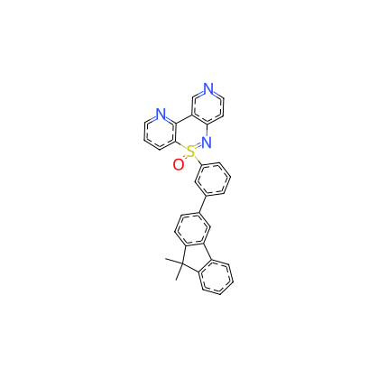 CC1(C)c2ccccc2-c2cc(-c3cccc(S4(=O)=Nc5ccncc5-c5ncccc54)c3)ccc21